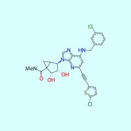 CNC(=O)C12CC1[C@@H](n1cnc3c(NCc4cccc(Cl)c4)cc(C#Cc4ccc(Cl)s4)nc31)[C@H](O)[C@@H]2O